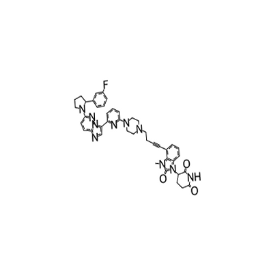 Cn1c(=O)n(C2CCC(=O)NC2=O)c2cccc(C#CCCN3CCN(c4cccc(-c5cnc6ccc(N7CCCC7c7cccc(F)c7)nn56)n4)CC3)c21